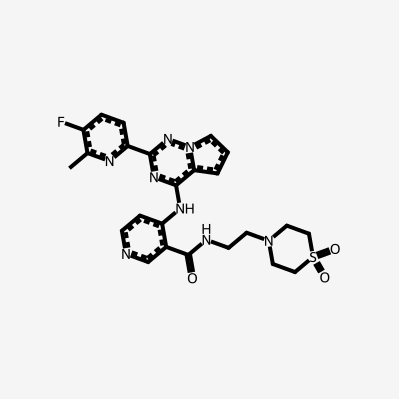 Cc1nc(-c2nc(Nc3ccncc3C(=O)NCCN3CCS(=O)(=O)CC3)c3cccn3n2)ccc1F